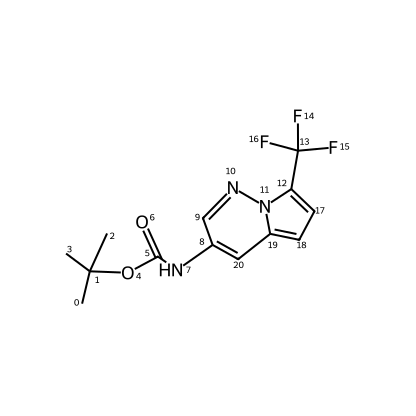 CC(C)(C)OC(=O)Nc1cnn2c(C(F)(F)F)ccc2c1